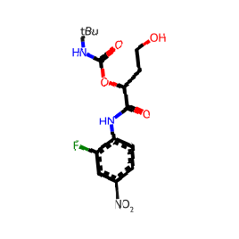 CC(C)(C)NC(=O)OC(CCO)C(=O)Nc1ccc([N+](=O)[O-])cc1F